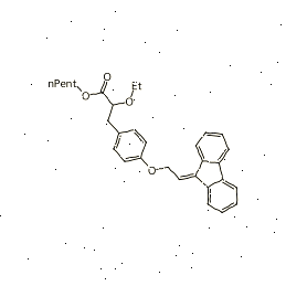 CCCCCOC(=O)C(Cc1ccc(OCC=C2c3ccccc3-c3ccccc32)cc1)OCC